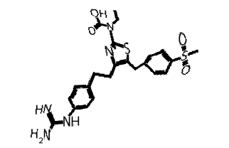 CCN(C(=O)O)c1nc(CCc2ccc(NC(=N)N)cc2)c(Cc2ccc(S(C)(=O)=O)cc2)s1